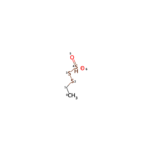 CCSS[SH](=O)=O